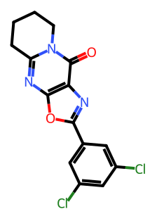 O=c1c2nc(-c3cc(Cl)cc(Cl)c3)oc2nc2n1CCCC2